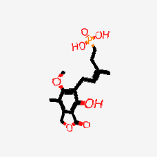 COc1c(C)c2c(c(O)c1CC=C(C)CCP(=O)(O)O)C(=O)OC2